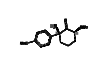 COc1ccc([C@@]2(N)CCC[C@H](OC)C2=O)cc1